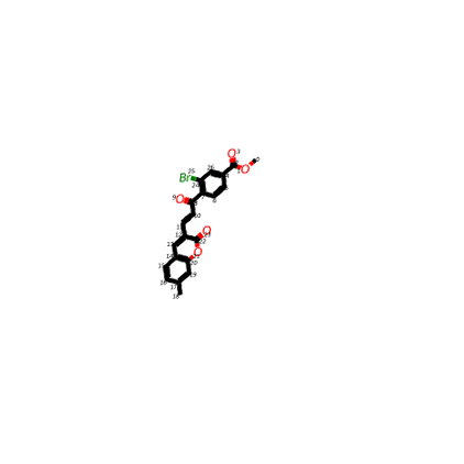 COC(=O)c1ccc(C(=O)/C=C/c2cc3ccc(C)cc3oc2=O)c(Br)c1